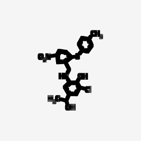 Cc1ccc(Sc2ccc([N+](=O)[O-])cc2CNc2cc(C(C)O)cc(Cl)c2O)cc1